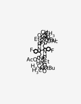 CCC(NC(=O)C(C)N(C)C(=O)OC(C)(C)C)C(=O)N1CC(OC(C)=O)CC1Cc1c(-c2[nH]c3cc(F)ccc3c2CC2CC(OC(C)=O)CN2C(=O)C(CC)NC(=O)C(C)N(C)C(=O)OC(C)(C)C)[nH]c2cc(F)ccc12